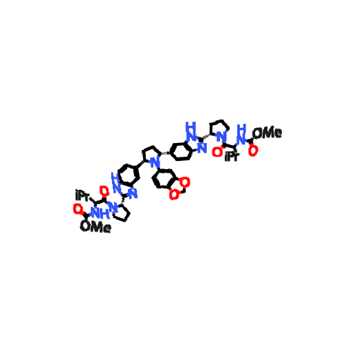 COC(=O)N[C@H](C(=O)N1CCC[C@H]1c1nc2cc([C@H]3CC[C@H](c4ccc5nc([C@@H]6CCCN6C(=O)[C@@H](NC(=O)OC)C(C)C)[nH]c5c4)N3c3ccc4c(c3)OCO4)ccc2[nH]1)C(C)C